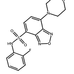 O=S(=O)(Nc1ccccc1F)c1ccc(N2CCOCC2)c2nonc12